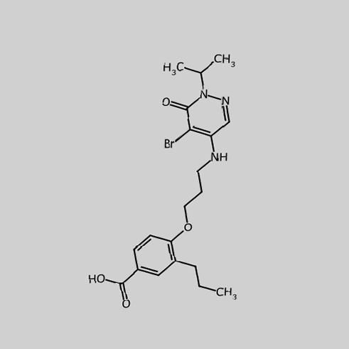 CCCc1cc(C(=O)O)ccc1OCCCNc1cnn(C(C)C)c(=O)c1Br